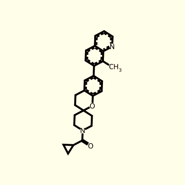 Cc1c(-c2ccc3c(c2)CCC2(CCN(C(=O)C4CC4)CC2)O3)ccc2cccnc12